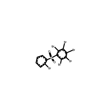 O=S(=O)(c1ccccc1Br)c1c(Br)c(Br)c(Br)c(Br)c1Br